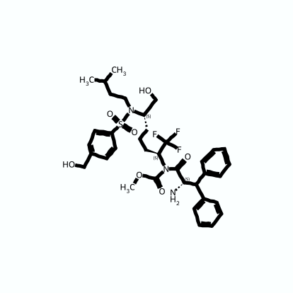 COC(=O)N(C(=O)[C@@H](N)C(c1ccccc1)c1ccccc1)[C@@H](CCC[C@@H](CO)N(CCC(C)C)S(=O)(=O)c1ccc(CO)cc1)C(F)(F)F